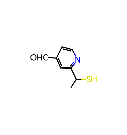 CC(S)c1cc(C=O)ccn1